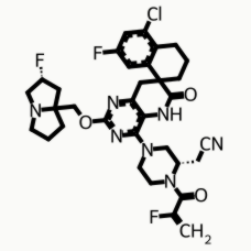 C=C(F)C(=O)N1CCN(c2nc(OCC34CCCN3C[C@H](F)C4)nc3c2NC(=O)C2(CCCc4c(Cl)cc(F)cc42)C3)C[C@@H]1CC#N